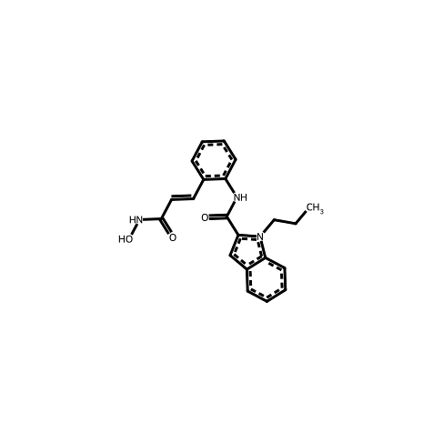 CCCn1c(C(=O)Nc2ccccc2C=CC(=O)NO)cc2ccccc21